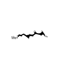 CCCCCCCCCCCCC(=O)CCO